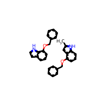 Cc1cc2c(OCc3ccccc3)cccc2[nH]1.c1ccc(COc2cccc3cc[nH]c23)cc1